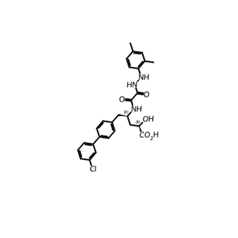 Cc1ccc(NNC(=O)C(=O)N[C@H](Cc2ccc(-c3cccc(Cl)c3)cc2)C[C@@H](O)C(=O)O)c(C)c1